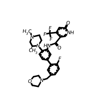 C[C@@H]1CN(C)CCN1c1ccc(-c2cc(CN3CCOCC3)ccc2F)cc1NC(=O)c1c[nH]c(=O)cc1C(F)(F)F